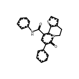 O=C(Nc1ccccc1)c1cc(-c2ccccc2)c(=O)n2c1-c1sccc1CC2